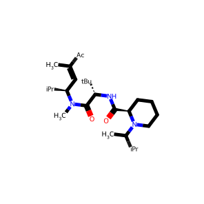 CC(=O)/C(C)=C/[C@H](C(C)C)N(C)C(=O)[C@@H](NC(=O)[C@H]1CCCCN1C(C)C(C)C)C(C)(C)C